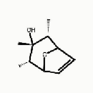 C[C@@H]1C2C=CC(O2)[C@H](C)[C@]1(C)O